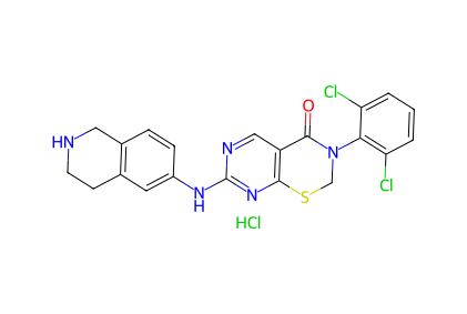 Cl.O=C1c2cnc(Nc3ccc4c(c3)CCNC4)nc2SCN1c1c(Cl)cccc1Cl